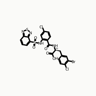 O=C(N[C@@H](Cc1ccc(Cl)c(Br)c1)C(=O)O)c1ccc(Cl)cc1NS(=O)(=O)c1cccc2nsnc12